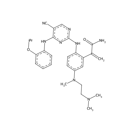 C=C(C(N)=O)c1cc(N(C)CCN(C)C)ccc1Nc1ncc(C#N)c(Nc2ccccc2OC(C)C)n1